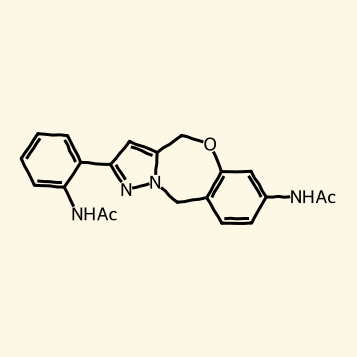 CC(=O)Nc1ccc2c(c1)OCc1cc(-c3ccccc3NC(C)=O)nn1C2